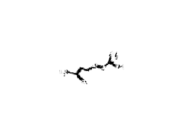 CC(C)SSCCC(N)=O